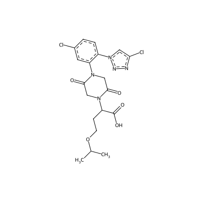 CC(C)OCCC(C(=O)O)N1CC(=O)N(c2cc(Cl)ccc2-n2cc(Cl)nn2)CC1=O